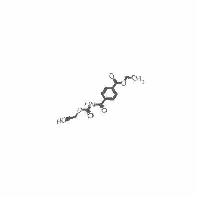 C#CCOC(=O)NC(=O)c1ccc(C(=O)OCC)cc1